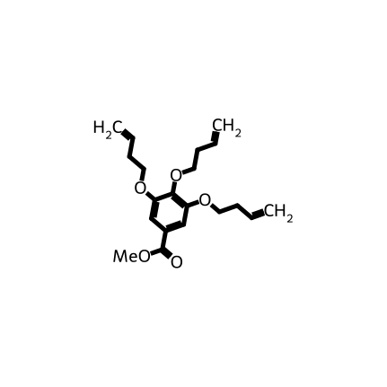 C=CCCOc1cc(C(=O)OC)cc(OCCC=C)c1OCCC=C